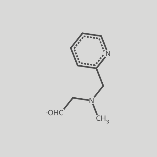 CN(C[C]=O)Cc1ccccn1